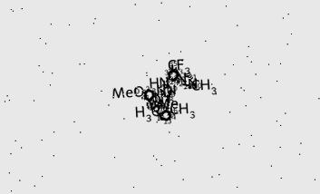 COc1ccc(N2C(=O)N(c3c(C)cccc3C)Cc3cnc(Nc4cc(N5CCN(C)CC5)cc(C(F)(F)F)c4)nc32)c(OC)c1